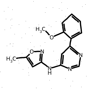 COc1ccccc1-c1cc(Nc2cc(C)on2)ncn1